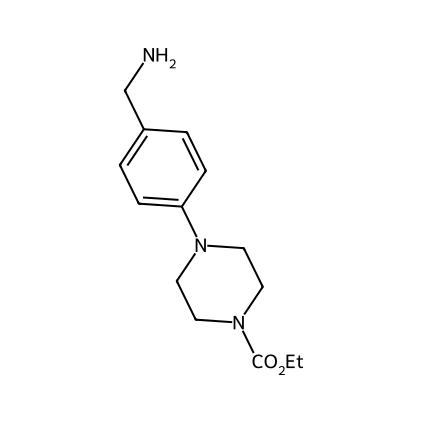 CCOC(=O)N1CCN(c2ccc(CN)cc2)CC1